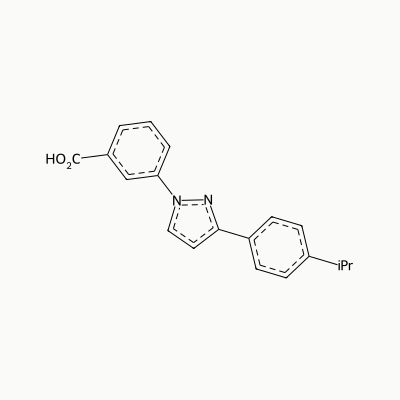 CC(C)c1ccc(-c2ccn(-c3cccc(C(=O)O)c3)n2)cc1